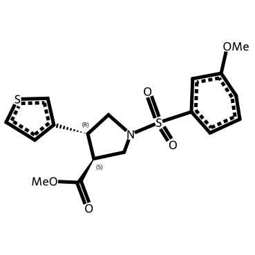 COC(=O)[C@@H]1CN(S(=O)(=O)c2cccc(OC)c2)C[C@H]1c1ccsc1